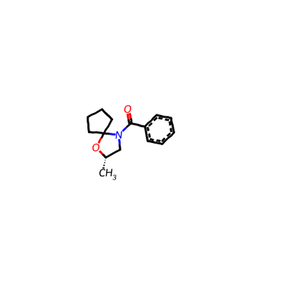 C[C@H]1CN(C(=O)c2ccccc2)C2(CCCC2)O1